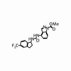 COC(=O)n1ncc2c(NC(=O)NC3CCc4cc(C(F)(F)F)ccc43)cccc21